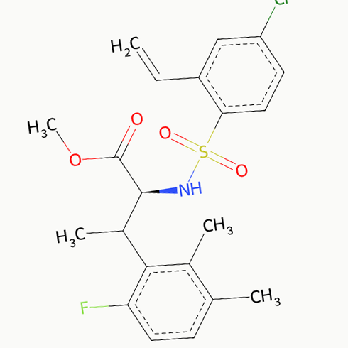 C=Cc1cc(Cl)ccc1S(=O)(=O)N[C@H](C(=O)OC)C(C)c1c(F)ccc(C)c1C